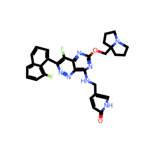 O=c1ccc(CNc2nc(OCC34CCCN3CCC4)nc3c(F)c(-c4cccc5cccc(F)c45)nnc23)c[nH]1